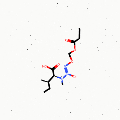 CCC(=O)OCON=[N+]([O-])N(C)[C@H](C(=O)O)[C@H](C)CC